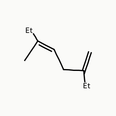 C=C(CC)CC=C(C)CC